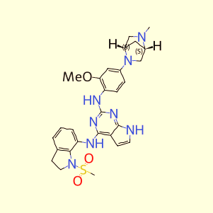 COc1cc(N2C[C@@H]3C[C@H]2CN3C)ccc1Nc1nc(Nc2cccc3c2N(S(C)(=O)=O)CC3)c2cc[nH]c2n1